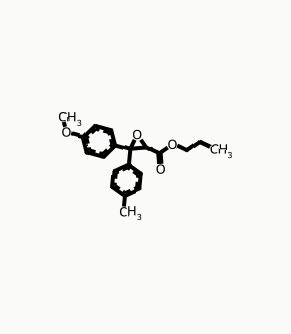 CCCOC(=O)C1OC1(c1ccc(C)cc1)c1ccc(OC)cc1